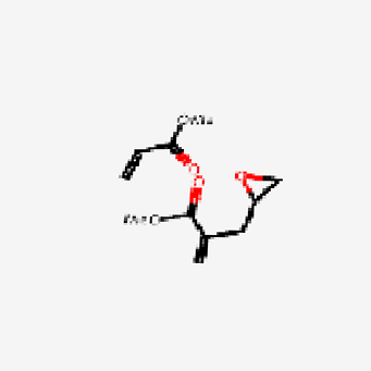 C=C(CC1CO1)C(=O)OC.C=CC(=O)OC